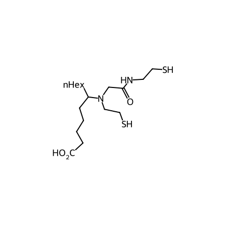 CCCCCCC(CCCCC(=O)O)N(CCS)CC(=O)NCCS